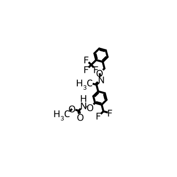 COC(=O)NOc1cc(/C(C)=N/OCc2ccccc2C(F)(F)F)ccc1C(F)F